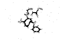 COC(=O)CC[C@@H](CC(C)(C)C)Nc1cc(Oc2ccccc2)ccc1N